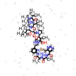 CC[C@H](C)[C@@H]([C@@H](CC(=O)N1CCC[C@H]1[C@H](OC)[C@@H](C)C(O)NCCc1cccc(NC(=O)[C@H](C)NC(=O)[C@H](C)NC(=O)c2cncnc2CBr)c1)OC)N(C)C(=O)[C@@H](NC(=O)[C@H](C(C)C)N(C)C)C(C)C